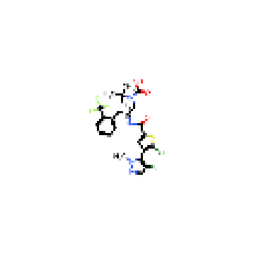 Cn1ncc(Cl)c1-c1cc(C(=O)N[C@@H](Cc2ccccc2C(F)(F)F)CN(C(=O)O)C(C)(C)C)sc1Cl